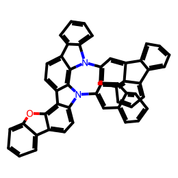 c1ccc2c(c1)-c1cccc3cc(-n4c5ccccc5c5ccc6c7c8oc9ccccc9c8ccc7n(-c7ccc8ccccc8c7)c6c54)cc-2c13